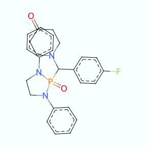 O=C1CCN(C(c2ccc(F)cc2)P2(=O)N(c3ccccc3)CCN2c2ccccc2)CC1